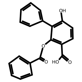 O=C(Oc1c(C(=O)O)ccc(O)c1-c1ccccc1)c1ccccc1